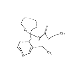 CCc1ccccc1C1(OC(=O)CO)CCCCC1